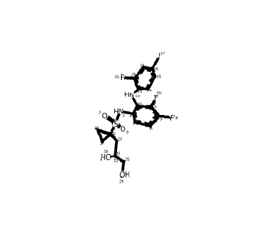 O=S(=O)(Nc1ccc(F)c(F)c1Nc1ccc(I)cc1F)C1(C[C@H](O)CO)CC1